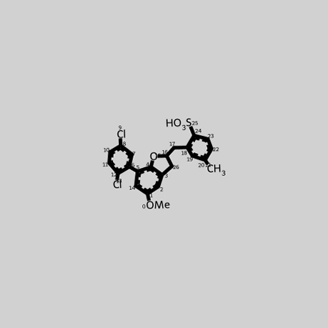 COc1cc2c(c(-c3cc(Cl)ccc3Cl)c1)OC(Cc1cc(C)ccc1S(=O)(=O)O)C2